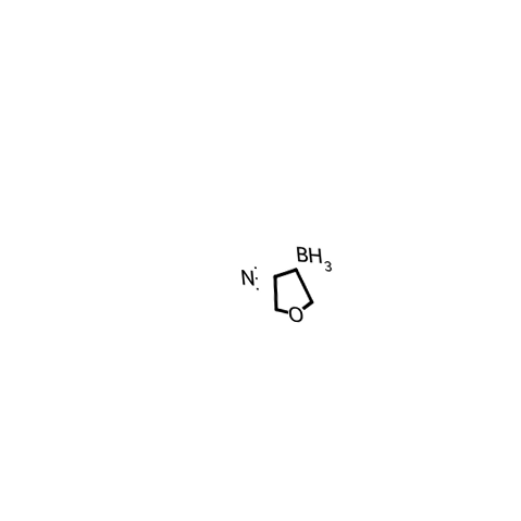 B.C1CCOC1.[N]